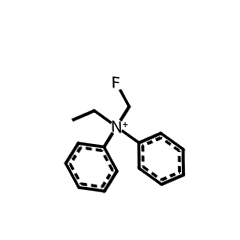 CC[N+](CF)(c1ccccc1)c1ccccc1